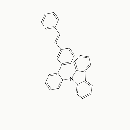 C(=C\c1cccc(-c2ccccc2-n2c3ccccc3c3ccccc32)c1)/c1ccccc1